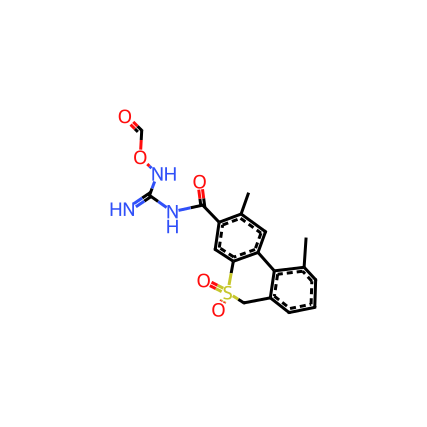 Cc1cc2c(cc1C(=O)NC(=N)NOC=O)S(=O)(=O)Cc1cccc(C)c1-2